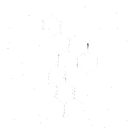 C[C@H]1COCC[C@@H]1N(Cc1ccc(C(F)(F)F)cn1)C(=O)c1ccc2nc(N)c(Br)cc2c1